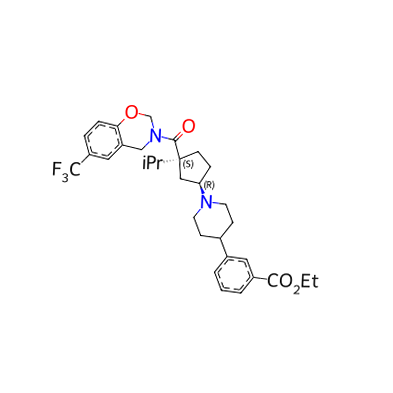 CCOC(=O)c1cccc(C2CCN([C@@H]3CC[C@@](C(=O)N4COc5ccc(C(F)(F)F)cc5C4)(C(C)C)C3)CC2)c1